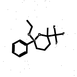 CCO[Si]1(c2ccccc2)CCCC(C)(C(F)(F)F)O1